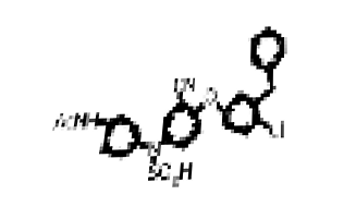 CC(=O)Nc1ccc(N(c2ccc(Oc3ccc(Cl)c(Cc4ccccc4)c3)c(C#N)c2)S(=O)(=O)O)cc1